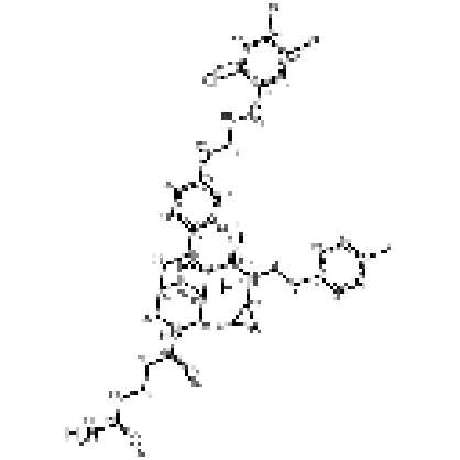 Cc1ccc(CCN(C(=O)C2=C(c3ccc(OCCOc4cc(C)c(C)cc4Cl)cc3)CC3CN(C(=O)CCCC(N)=O)C[C@H]2N3)C2CC2)cc1